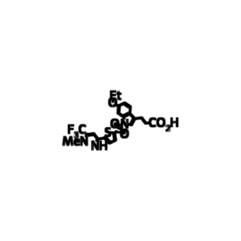 CCOc1ccc2c(CCC(=O)O)cn(S(=O)(=O)c3ccc(C(=N)/C=C(\NC)C(F)(F)F)s3)c2c1